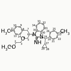 COCCOCC(Cc1ccc(C)cc1)n1c(=N)n(C(c2ccc(C)cc2)C2CC2)c2ccccc21